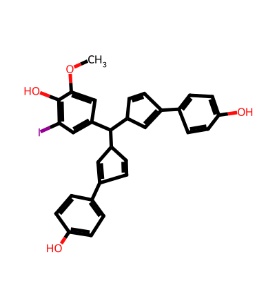 COc1cc(C(C2C=CC(c3ccc(O)cc3)=C2)C2C=CC(c3ccc(O)cc3)=C2)cc(I)c1O